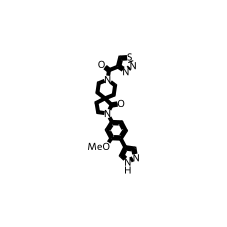 COc1cc(N2CCC3(CCN(C(=O)c4csnn4)CC3)C2=O)ccc1-c1cn[nH]c1